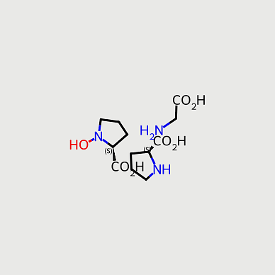 NCC(=O)O.O=C(O)[C@@H]1CCCN1.O=C(O)[C@@H]1CCCN1O